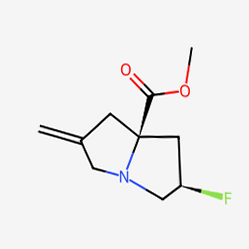 C=C1CN2C[C@H](F)C[C@@]2(C(=O)OC)C1